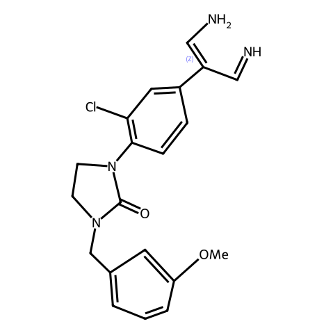 COc1cccc(CN2CCN(c3ccc(/C(C=N)=C/N)cc3Cl)C2=O)c1